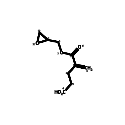 C=C(CCC(=O)O)C(=O)OCC1CO1